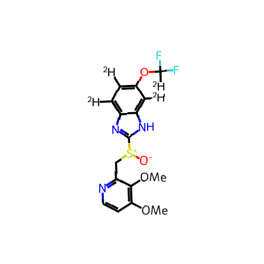 [2H]c1c(OC([2H])(F)F)c([2H])c2[nH]c([S+]([O-])Cc3nccc(OC)c3OC)nc2c1[2H]